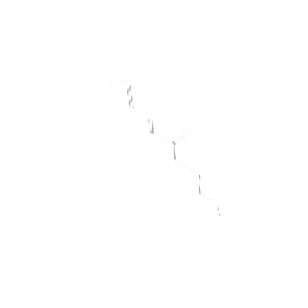 CCOC(=O)C=CC=CC(=O)CCCOC=O